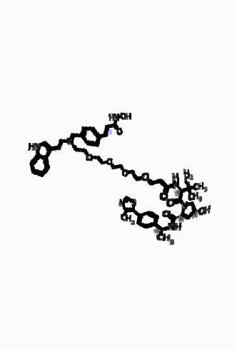 Cc1ncsc1-c1ccc([C@H](C)NC(=O)[C@H]2C[C@@H](O)CN2C(=O)[C@@H](NC(=O)CCOCCOCCOCCOCCN(CCc2c[nH]c3ccccc23)Cc2ccc(/C=C/C(=O)NO)cc2)C(C)(C)C)cc1